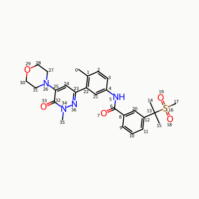 Cc1ccc(NC(=O)c2cccc(C(C)(C)S(C)(=O)=O)c2)cc1-c1cc(N2CCOCC2)c(=O)n(C)n1